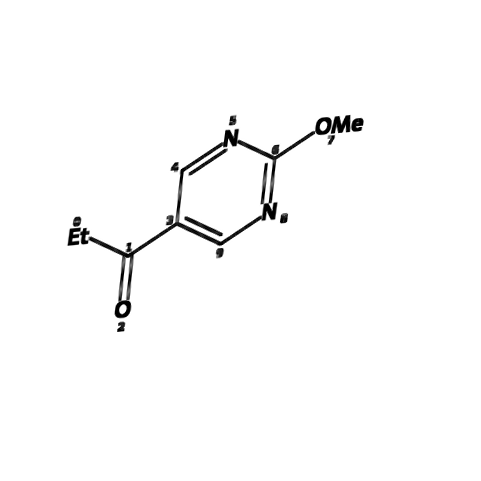 CCC(=O)c1cnc(OC)nc1